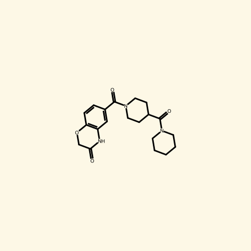 O=C1COc2ccc(C(=O)N3CCC(C(=O)N4CCCCC4)CC3)cc2N1